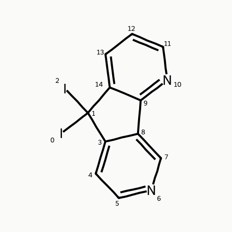 IC1(I)c2ccncc2-c2ncccc21